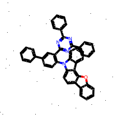 c1ccc(-c2ccc(-n3c4ccccc4c4c5oc6ccccc6c5ccc43)c(-c3nc(-c4ccccc4)nc(-c4ccccc4)n3)c2)cc1